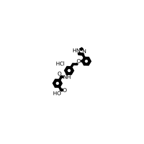 Cl.O=C(O)c1cccc(C(=O)Nc2ccc(CCOc3ccccc3-c3c[nH]cn3)cc2)c1